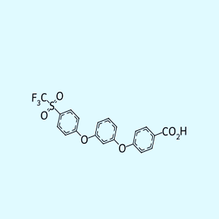 O=C(O)c1ccc(Oc2cccc(Oc3ccc(S(=O)(=O)C(F)(F)F)cc3)c2)cc1